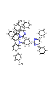 N#Cc1ccc(-c2ccc3c4ccc(-c5ccc(C#N)cc5)cc4n(-c4ccc(-c5nc(-c6ccccc6)cc(-c6ccccc6)n5)cc4-c4nc(-c5ccccc5)cc(-c5ccccc5)n4)c3c2)cc1